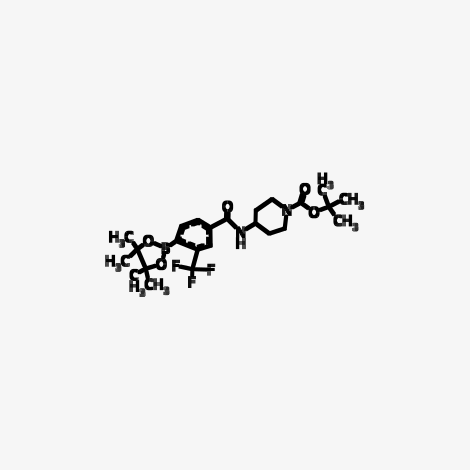 CC(C)(C)OC(=O)N1CCC(NC(=O)c2ccc(B3OC(C)(C)C(C)(C)O3)c(C(F)(F)F)c2)CC1